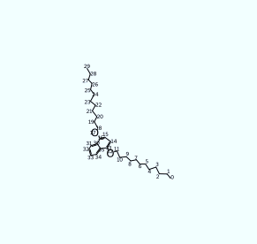 CCCCCCCCCCCCOc1ccc(OCCCCCCCCCCCC)c2ccccc12